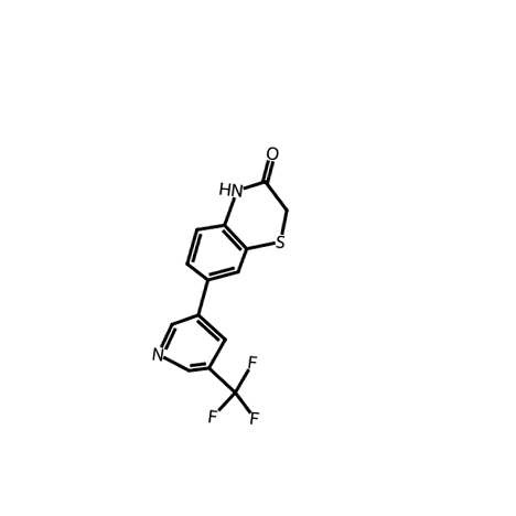 O=C1CSc2cc(-c3cncc(C(F)(F)F)c3)ccc2N1